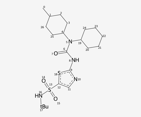 CC1CCC(N(C(=O)Nc2ncc(S(=O)(=O)NC(C)(C)C)s2)C2CCCCC2)CC1